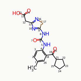 Cc1ccc(NC(=O)Nc2nc(CC(=O)O)ns2)c(C(=O)C2CCCC2)c1